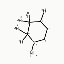 [2H]C1CCN(N)C([2H])([2H])C1([2H])[2H]